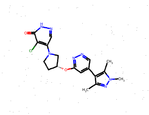 Cc1nn(C)c(C)c1-c1cnnc(O[C@@H]2CCN(c3cn[nH]c(=O)c3Cl)C2)c1